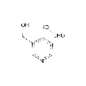 O=CO.OCc1cccnc1